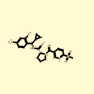 CS(=O)(=O)c1ccc(C(=O)N2CCC[C@@H]2C(=O)N[C@@H](c2ccc(C(F)(F)F)cc2F)C2CC2)cn1